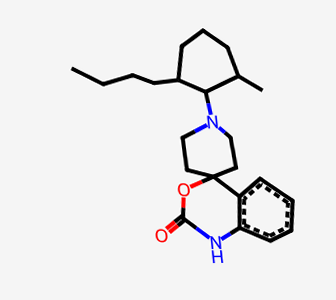 CCCCC1CCCC(C)C1N1CCC2(CC1)OC(=O)Nc1ccccc12